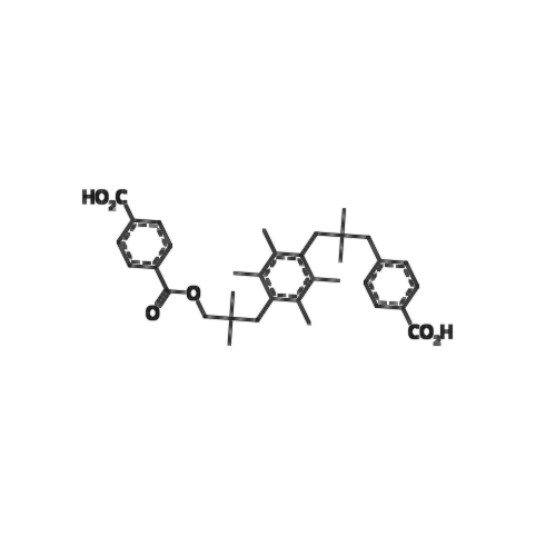 Cc1c(C)c(CC(C)(C)Cc2ccc(C(=O)O)cc2)c(C)c(C)c1CC(C)(C)COC(=O)c1ccc(C(=O)O)cc1